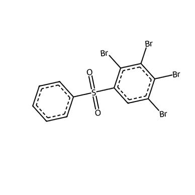 O=S(=O)(c1ccccc1)c1cc(Br)c(Br)c(Br)c1Br